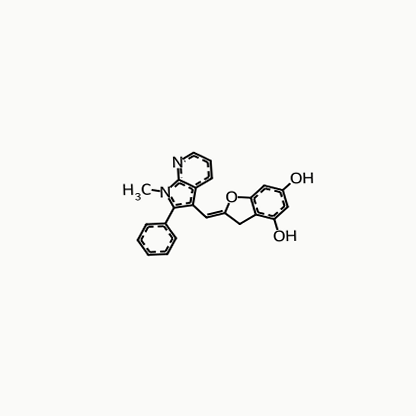 Cn1c(-c2ccccc2)c(C=C2Cc3c(O)cc(O)cc3O2)c2cccnc21